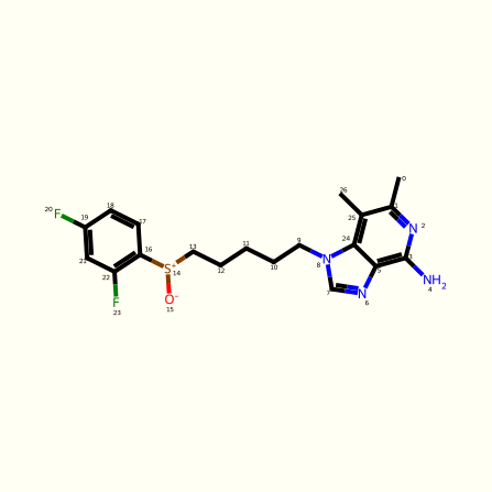 Cc1nc(N)c2ncn(CCCCC[S+]([O-])c3ccc(F)cc3F)c2c1C